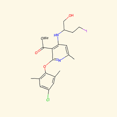 COC(=O)c1c(NC(CO)CCI)cc(C)nc1Oc1c(C)cc(Cl)cc1C